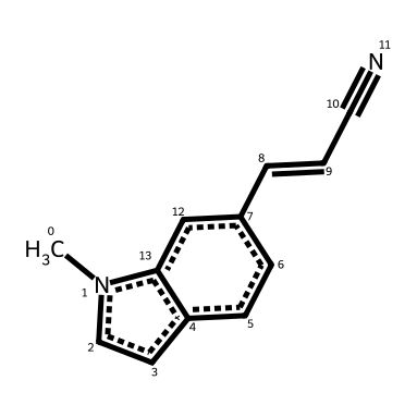 Cn1ccc2ccc(C=CC#N)cc21